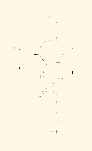 CC(C)C1OC(CO)C(O)C(O)C1OP(=O)(O)OCCN